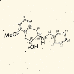 COc1cccc2c1C[C@@H](O)[C@H](NCc1ccccc1)C2